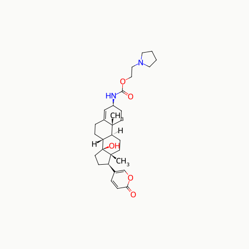 C[C@]12CC[C@H](NC(=O)OCCN3CCCC3)C=C1CC[C@@H]1[C@@H]2CC[C@]2(C)[C@@H](c3ccc(=O)oc3)CC[C@]12O